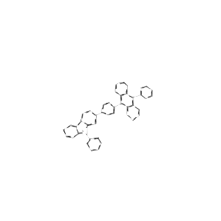 c1ccc(-c2c3ccccc3c(-c3ccc(-c4ccc5c6ccccc6n(-c6ccccc6)c5c4)cc3)c3ccccc23)cc1